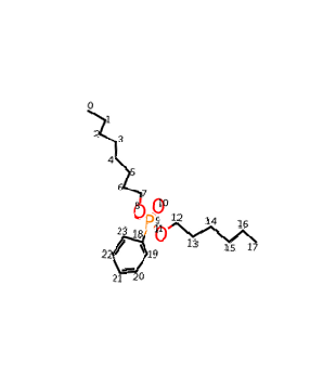 CCCCCCCCOP(=O)(OCCCCCC)c1ccccc1